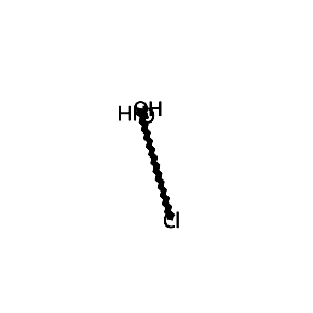 O=C(CCCCCCCCCCCCCCCCCCCCCCCCCl)NO